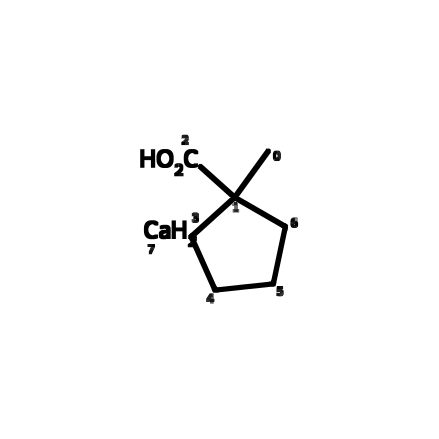 CC1(C(=O)O)CCCC1.[CaH2]